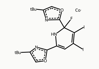 CC(C)(C)c1coc(C2=CC(I)=C(I)C(F)(c3nc(C(C)(C)C)co3)N2)n1.[Co]